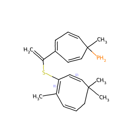 C=C(SC1=C(\C)C=CCC(C)(C)/C=C\1)C1=CC=CC(C)(P)C=C1